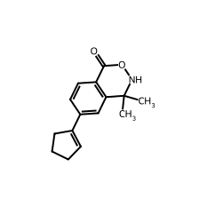 CC1(C)NOC(=O)c2ccc(C3=CCCC3)cc21